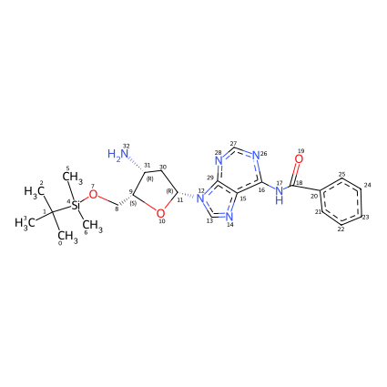 CC(C)(C)[Si](C)(C)OC[C@H]1O[C@@H](n2cnc3c(NC(=O)c4ccccc4)ncnc32)C[C@H]1N